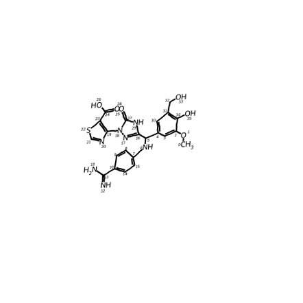 COc1cc(C(Nc2ccc(C(=N)N)cc2)c2nn(-c3ncsc3C(=O)O)c(=O)[nH]2)cc(CO)c1O